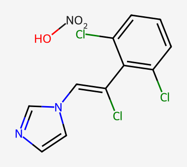 ClC(=Cn1ccnc1)c1c(Cl)cccc1Cl.O=[N+]([O-])O